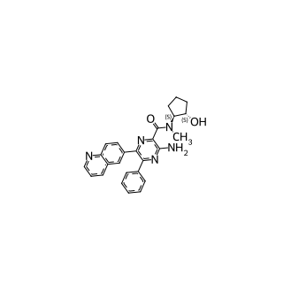 CN(C(=O)c1nc(-c2ccc3ncccc3c2)c(-c2ccccc2)nc1N)[C@H]1CCC[C@@H]1O